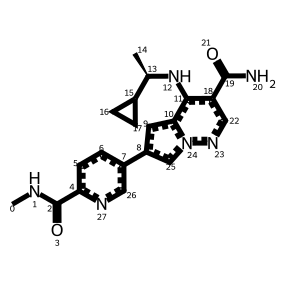 CNC(=O)c1ccc(-c2cc3c(N[C@H](C)C4CC4)c(C(N)=O)cnn3c2)cn1